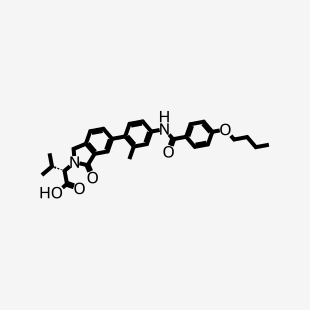 CCCCOc1ccc(C(=O)Nc2ccc(-c3ccc4c(c3)C(=O)N([C@H](C(=O)O)C(C)C)C4)c(C)c2)cc1